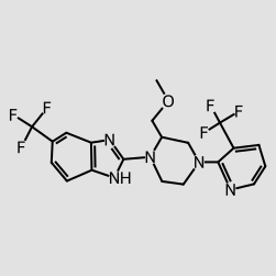 COCC1CN(c2ncccc2C(F)(F)F)CCN1c1nc2cc(C(F)(F)F)ccc2[nH]1